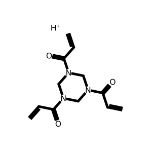 C=CC(=O)N1CN(C(=O)C=C)CN(C(=O)C=C)C1.[H+]